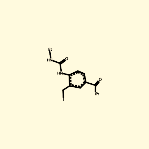 CCNC(=O)Nc1ccc(C(=O)C(C)C)cc1CI